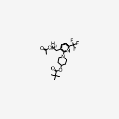 CC(=O)O.CC(C)(C)C(=O)OC1CCN(c2nc(C(F)(F)F)ccc2CN)CC1